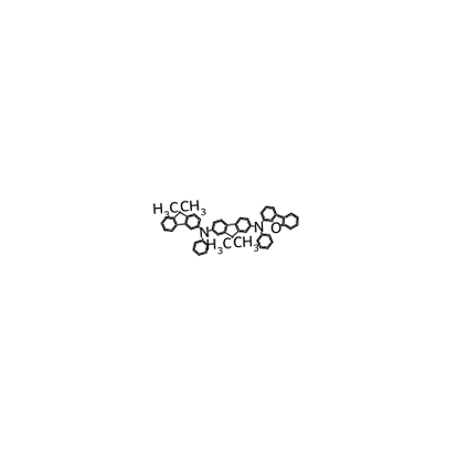 CC1(C)c2ccccc2-c2cc(N(c3ccccc3)c3ccc4c(c3)C(C)(C)c3cc(N(c5ccccc5)c5cccc6c5oc5ccccc56)ccc3-4)ccc21